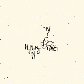 CNC(N)=NC(=O)c1cc2c(C)ccc(OCCCN(C)C)c2[nH]1.Cl.Cl